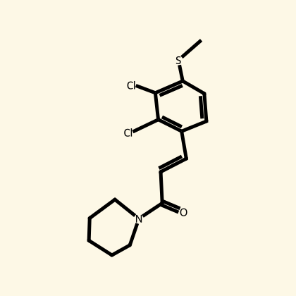 CSc1ccc(/C=C/C(=O)N2CCCCC2)c(Cl)c1Cl